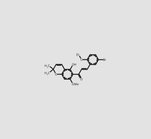 CCOc1ccc(Br)cc1/C=C/C(=O)c1c(OC)cc2c(c1O)C=CC(C)(C)O2